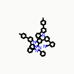 Cc1ccc(-c2ccc3c(c2)c2ccccc2n3-c2ccc(-c3ccccc3C#N)cc2-c2ccc(-n3c4ccccc4c4cc(-c5ccc(C)cc5)ccc43)c(-c3nc(-c4ccccc4)nc(-c4ccccc4)n3)c2)cc1